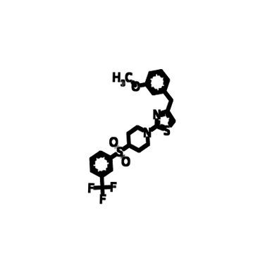 COc1cccc(Cc2csc(N3CCC(S(=O)(=O)c4cccc(C(F)(F)F)c4)CC3)n2)c1